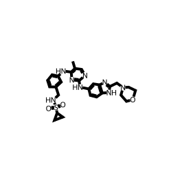 Cc1cnc(Nc2ccc3[nH]c(CN4CCOCC4)nc3c2)nc1Nc1cccc(CNS(=O)(=O)C2CC2)c1